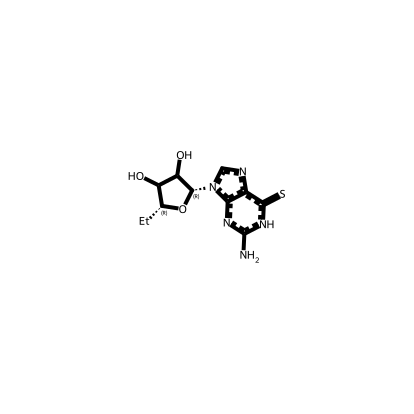 CC[C@H]1O[C@@H](n2cnc3c(=S)[nH]c(N)nc32)C(O)C1O